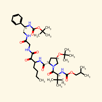 CCCCC(NC(=O)[C@@H]1C[C@@H](OC(C)(C)C)CN1C(=O)[C@@H](NC(=O)OCC(C)C)C(C)(C)C)C(=O)C(=O)NCC(=O)NC[C@@H](NC(=O)OC(C)(C)C)c1ccccc1